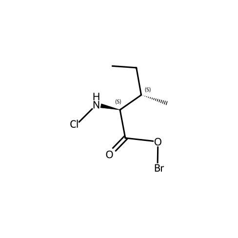 CC[C@H](C)[C@H](NCl)C(=O)OBr